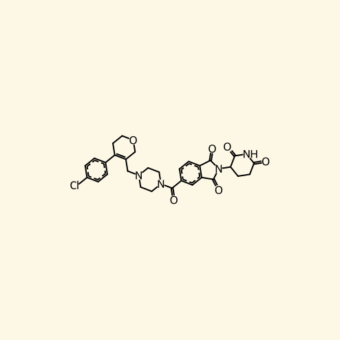 O=C1CCC(N2C(=O)c3ccc(C(=O)N4CCN(CC5=C(c6ccc(Cl)cc6)CCOC5)CC4)cc3C2=O)C(=O)N1